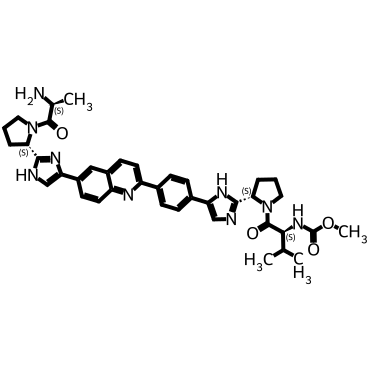 COC(=O)N[C@H](C(=O)N1CCC[C@H]1c1ncc(-c2ccc(-c3ccc4cc(-c5c[nH]c([C@@H]6CCCN6C(=O)[C@H](C)N)n5)ccc4n3)cc2)[nH]1)C(C)C